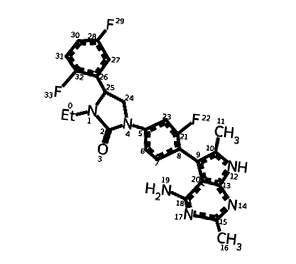 CCN1C(=O)N(c2ccc(-c3c(C)[nH]c4nc(C)nc(N)c34)c(F)c2)CC1c1cc(F)ccc1F